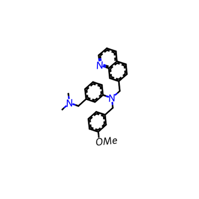 COc1cccc(CN(Cc2ccc3cccnc3c2)c2cccc(CN(C)C)c2)c1